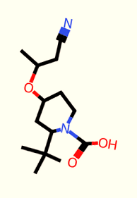 CC(CC#N)OC1CCN(C(=O)O)C(C(C)(C)C)C1